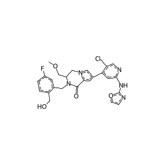 COCC1Cn2cc(-c3cc(Nc4ncco4)ncc3Cl)cc2C(=O)N1Cc1cc(F)ccc1CO